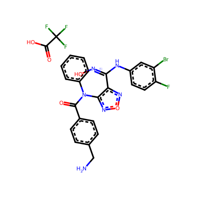 NCc1ccc(C(=O)N(c2ccccc2)c2nonc2/C(=N\O)Nc2ccc(F)c(Br)c2)cc1.O=C(O)C(F)(F)F